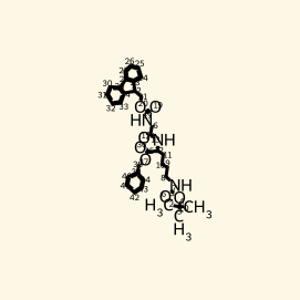 CC(C)(C)OC(=O)NCCCCC(NC(=O)CNC(=O)OCC1c2ccccc2-c2ccccc21)C(=O)OCc1ccccc1